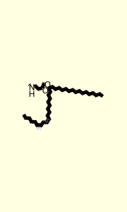 CCCCC/C=C\C/C=C\CCCCCCCCC1(CCCCCCCCCCCCCCCC)OCC(CCNC)O1